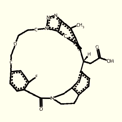 Cc1c2ccc3c1nnn3CCCOCCc1ccc(c(F)c1)C(=O)N1CCc3ccc(cc3C1)[C@H]2CC(=O)O